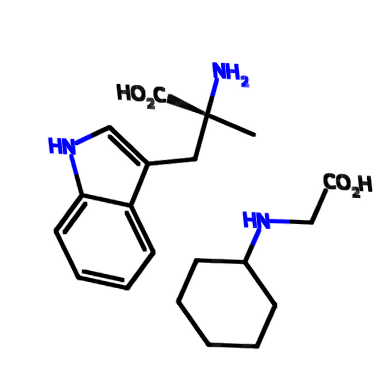 C[C@@](N)(Cc1c[nH]c2ccccc12)C(=O)O.O=C(O)CNC1CCCCC1